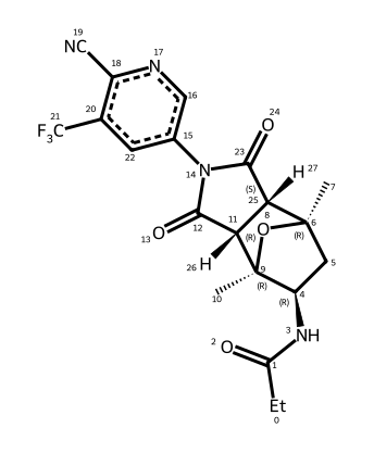 CCC(=O)N[C@@H]1C[C@@]2(C)O[C@]1(C)[C@@H]1C(=O)N(c3cnc(C#N)c(C(F)(F)F)c3)C(=O)[C@@H]12